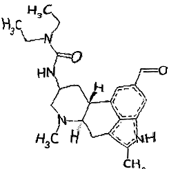 CCN(CC)C(=O)NC1C[C@@H]2c3cc(C=O)cc4[nH]c(C)c(c34)C[C@H]2N(C)C1